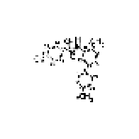 Cc1ccc(-c2ccc(C)c(NS(=O)(=O)c3ccc(Cl)cc3)c2)cc1